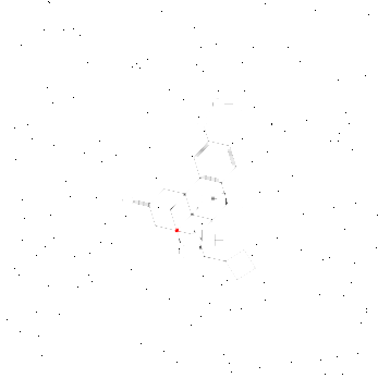 COc1ccc2c(c1)[C@]13CCN(CC4CCC4)[C@H](C2)[C@]1(OC)[C@@H](C)CC(=O)C3